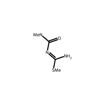 CNC(=O)N=C(N)SC